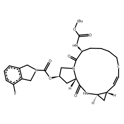 CC(C)(C)OC(=O)N[C@H]1CCCCC/C=C\[C@@H]2C[C@H]2NC(=O)[C@@H]2C[C@@H](OC(=O)N3Cc4cccc(F)c4C3)CN2C1=O